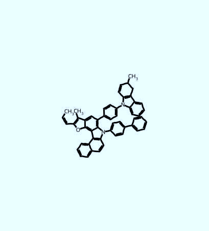 C/C=C\c1oc2c(cc(-c3ccc(-n4c5c(c6ccccc64)CC(C)C=C5)cc3)c3c2c2c4ccccc4ccc2n3-c2ccc(-c3ccccc3)cc2)c1C